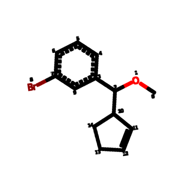 COC(c1cccc(Br)c1)C1C=CCC1